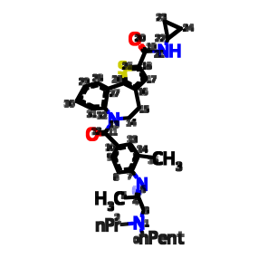 CCCCCN(CCC)C/C(C)=N/c1ccc(C(=O)N2CCc3cc(C(=O)NC4CC4)sc3-c3ccccc32)cc1C